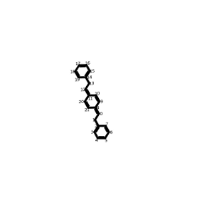 C(Cc1ccccc1)=c1ccc(=CCc2ccccc2)cc1